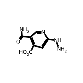 NNc1cc(C(=O)O)c(C(N)=O)cn1